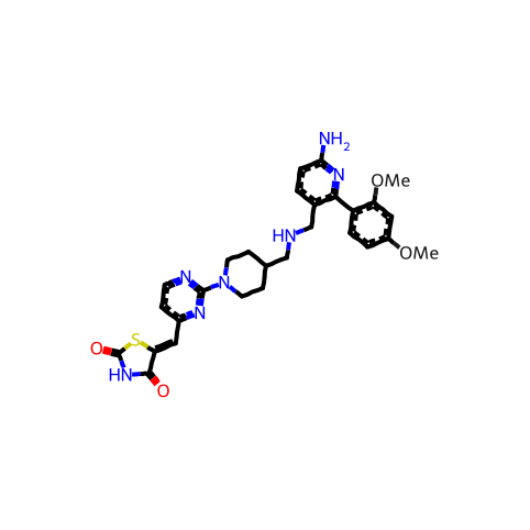 COc1ccc(-c2nc(N)ccc2CNCC2CCN(c3nccc(/C=C4\SC(=O)NC4=O)n3)CC2)c(OC)c1